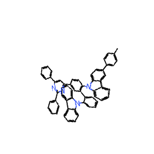 Cc1ccc(-c2ccc3c(c2)c2ccccc2n3-c2ccc(-c3cc(-c4ccccc4)nc(-c4ccccc4)n3)cc2-c2ccccc2-n2c3ccccc3c3ccccc32)cc1